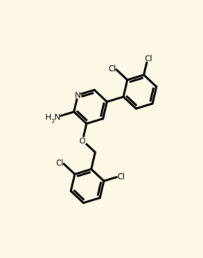 Nc1ncc(-c2cccc(Cl)c2Cl)cc1OCc1c(Cl)cccc1Cl